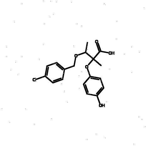 CC(OCc1ccc(Cl)cc1)C(C)(Oc1ccc(O)cc1)C(=O)O